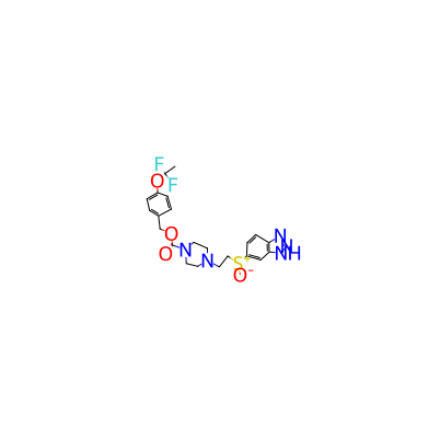 CC(F)(F)Oc1ccc(COC(=O)N2CCN(CC[S+]([O-])c3ccc4nn[nH]c4c3)CC2)cc1